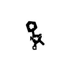 Cc1sc(-c2ccccc2)nc1Cl